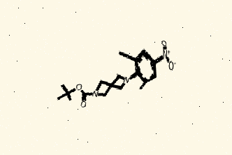 Cc1cc([N+](=O)[O-])cc(C)c1N1CC2(CN(C(=O)OC(C)(C)C)C2)C1